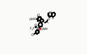 COC(=O)C1(N(C(=O)C(F)(F)F)c2cccc(Cl)c2)CCC2(CC1)c1cc(C=O)c(Cl)cc1C[C@@H]2C[C@@H](C)COc1ccnc2c1[C@H](C)CCC2